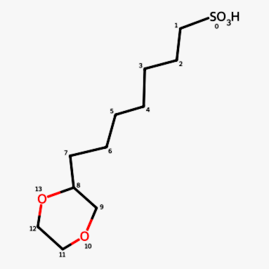 O=S(=O)(O)CCCCCCCC1COCCO1